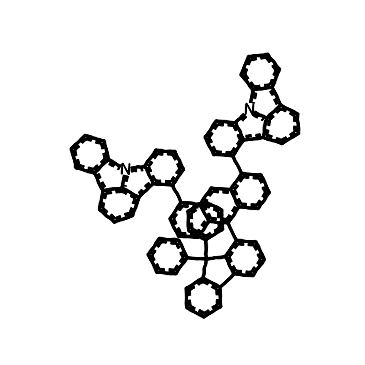 c1ccc(C2(c3ccccc3)c3ccccc3-c3cccc(-c4c5cccc(-c6cccc7c6c6cccc8c9ccccc9n7c86)c5cc5c(-c6cccc7c6c6cccc8c9ccccc9n7c86)cccc45)c32)cc1